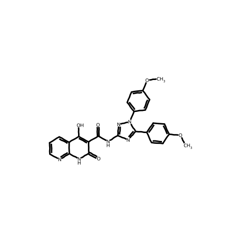 COc1ccc(-c2nc(NC(=O)c3c(O)c4cccnc4[nH]c3=O)nn2-c2ccc(OC)cc2)cc1